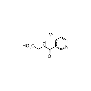 O=C(O)CNC(=O)c1cccnc1.[V]